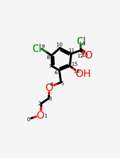 COCCOCc1cc(Cl)cc(C(=O)Cl)c1O